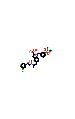 CC(Cc1ccc2c(c1)cc(C(=O)O)n2Cc1cccc(S(=O)(=O)N(C)C(F)(F)F)c1)NCC(O)c1cccc(Cl)c1